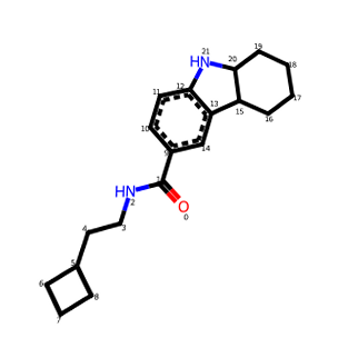 O=C(NCCC1CCC1)c1ccc2c(c1)C1CCCCC1N2